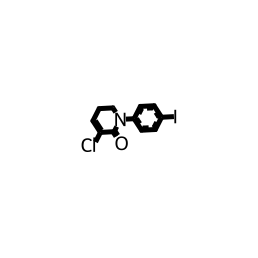 O=C1C(Cl)=CCCN1c1ccc(I)cc1